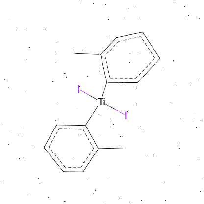 Cc1cccc[c]1[Ti]([I])([I])[c]1ccccc1C